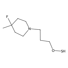 CC1(F)CCN(CCCOS)CC1